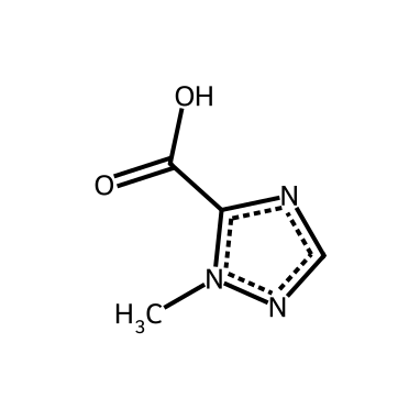 Cn1ncnc1C(=O)O